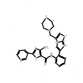 Cc1nc(-c2cccnc2)sc1C(=O)Nc1ccccc1-c1cn2c(CN3CCSCC3)csc2n1